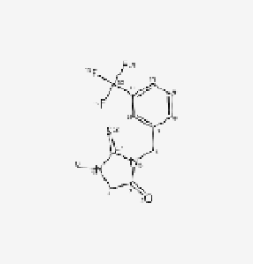 CN1CC(=O)N(Cc2cccc(C(F)(F)F)c2)C1=S